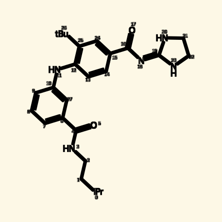 CC(C)CCNC(=O)c1cccc(Nc2ccc(C(=O)N=C3NCCN3)cc2C(C)(C)C)c1